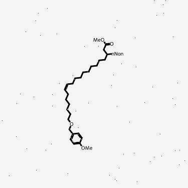 CCCCCCCCCC(CCCCCCCCC/C=C\CCCCCCOCc1ccc(OC)cc1)CC(=O)OC